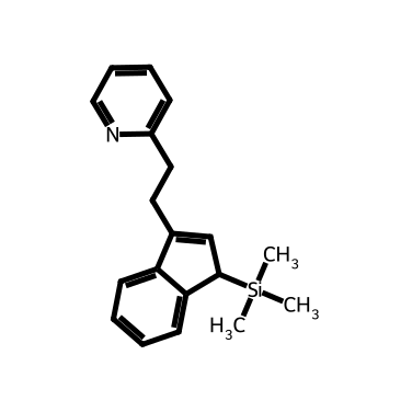 C[Si](C)(C)C1C=C(CCc2ccccn2)c2ccccc21